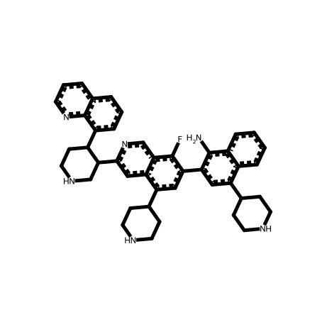 Nc1c(-c2cc(C3CCNCC3)c3cc(C4CNCCC4c4cccc5cccnc45)ncc3c2F)cc(C2CCNCC2)c2ccccc12